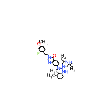 COc1ccc(CCn2cnc3cc(/N=C(/NC4CCCC(C)C4C)N4CC(C)NC(C)C4)ccc3c2=O)c(F)c1